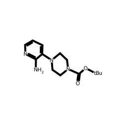 CC(C)(C)OC(=O)N1CCN(c2cccnc2N)CC1